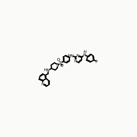 O=S(=O)(c1ccc(Nc2nccc(Nc3ccc(F)cc3)n2)cc1)N1CCC(NCc2cccc3ncccc23)CC1